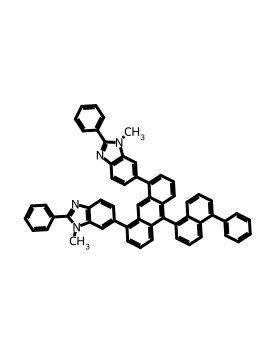 Cn1c(-c2ccccc2)nc2ccc(-c3cccc4c(-c5cccc6c(-c7ccccc7)cccc56)c5cccc(-c6ccc7nc(-c8ccccc8)n(C)c7c6)c5cc34)cc21